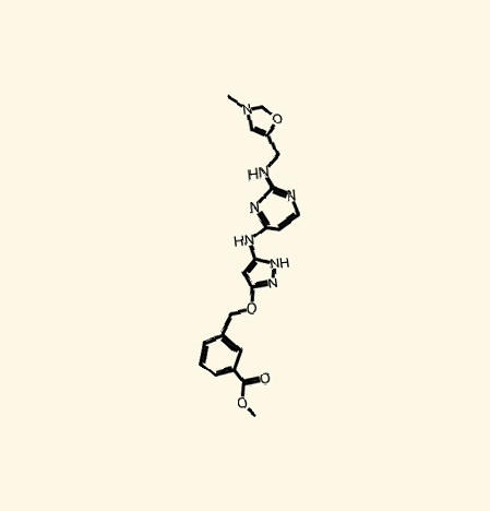 COC(=O)c1cccc(COc2cc(Nc3ccnc(NCC4=CN(C)CO4)n3)[nH]n2)c1